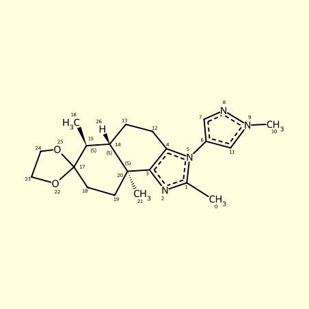 Cc1nc2c(n1-c1cnn(C)c1)CC[C@H]1[C@H](C)C3(CC[C@]21C)OCCO3